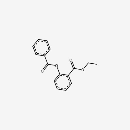 CCOC(=O)c1ccccc1OC(=O)c1ccccc1